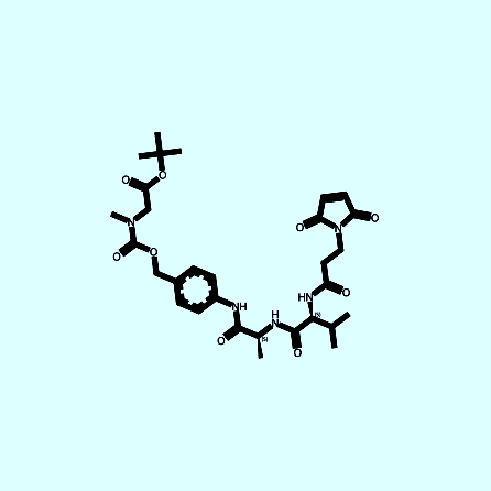 CC(C)[C@H](NC(=O)CCN1C(=O)C=CC1=O)C(=O)N[C@@H](C)C(=O)Nc1ccc(COC(=O)N(C)CC(=O)OC(C)(C)C)cc1